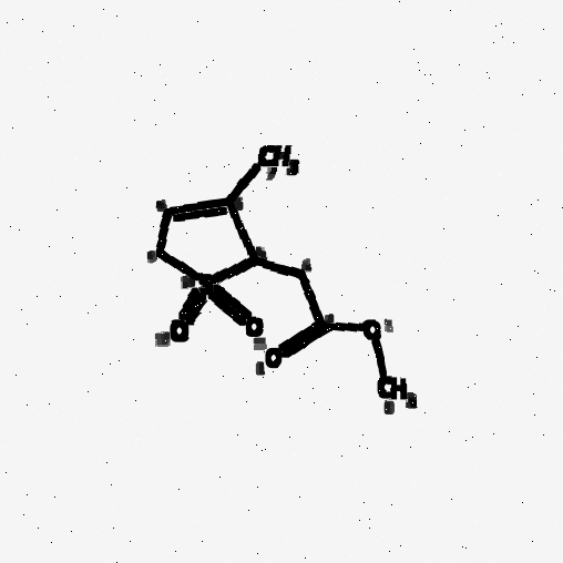 COC(=O)CC1C(C)=CCS1(=O)=O